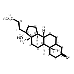 C[C@]12CCC(=O)CC1CC[C@@H]1[C@@H]2CC[C@@]2(C)[C@H]1CC[C@]2(O)CCC(=O)O